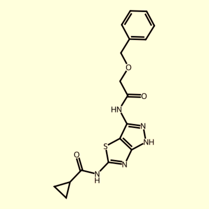 O=C(COCc1ccccc1)Nc1n[nH]c2nc(NC(=O)C3CC3)sc12